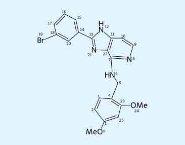 COc1ccc(CNc2nccc3[nH]c(-c4cccc(Br)c4)nc23)c(OC)c1